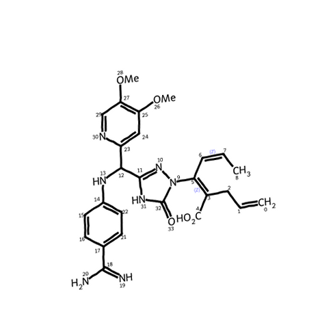 C=CC/C(C(=O)O)=C(\C=C/C)n1nc(C(Nc2ccc(C(=N)N)cc2)c2cc(OC)c(OC)cn2)[nH]c1=O